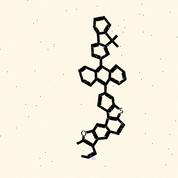 C/C=C\c1c(C)oc2cc3c(ccc4sc5cc(-c6c7ccccc7c(-c7ccc8c(c7)C(C)(C)c7ccccc7-8)c7ccccc67)ccc5c43)cc12